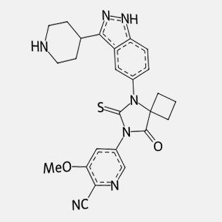 COc1cc(N2C(=O)C3(CCC3)N(c3ccc4[nH]nc(C5CCNCC5)c4c3)C2=S)cnc1C#N